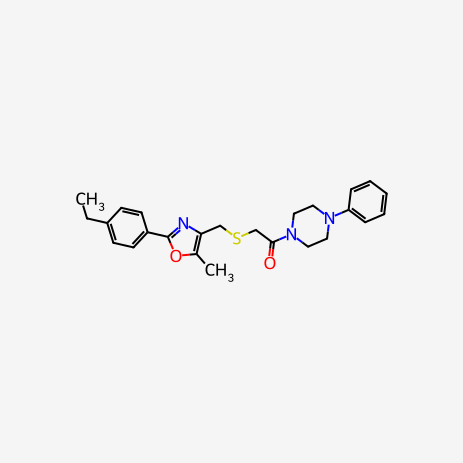 CCc1ccc(-c2nc(CSCC(=O)N3CCN(c4ccccc4)CC3)c(C)o2)cc1